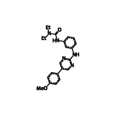 CCN(CC)C(=O)Nc1cccc(Nc2ncc(-c3ccc(OC)cc3)cn2)c1